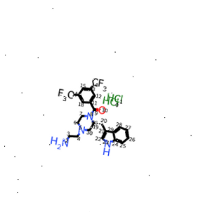 Cl.Cl.NCCN1CCN(C(=O)c2cc(C(F)(F)F)cc(C(F)(F)F)c2)[C@H](Cc2c[nH]c3ccccc23)C1